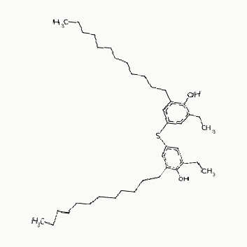 CCCCCCCCCCCCc1cc(Sc2cc(CC)c(O)c(CCCCCCCCCCCC)c2)cc(CC)c1O